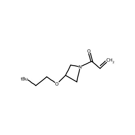 C=CC(=O)N1CC(OCCC(C)(C)C)C1